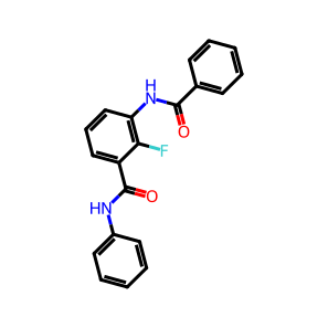 O=C(Nc1cccc(C(=O)Nc2ccccc2)c1F)c1ccccc1